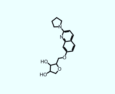 OC1COC(COc2ccc3ccc(N4CCCC4)nc3c2)C1O